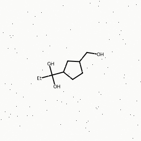 CCC(O)(O)C1CCC(CO)C1